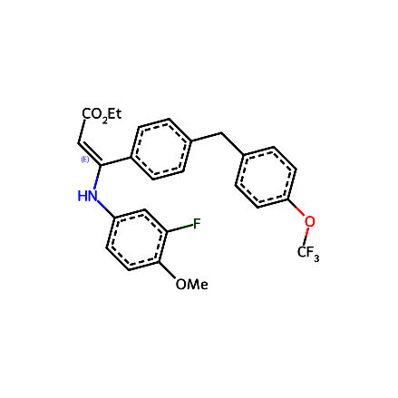 CCOC(=O)/C=C(/Nc1ccc(OC)c(F)c1)c1ccc(Cc2ccc(OC(F)(F)F)cc2)cc1